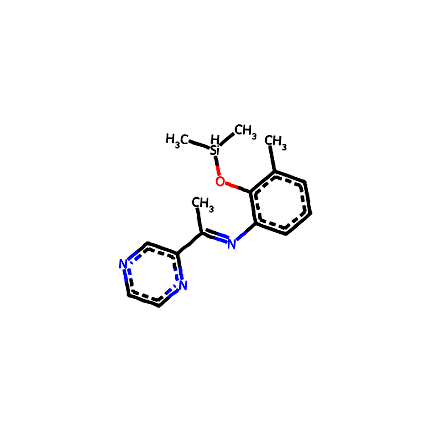 CC(=Nc1cccc(C)c1O[SiH](C)C)c1cnccn1